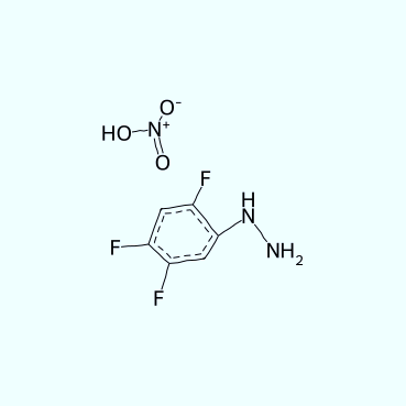 NNc1cc(F)c(F)cc1F.O=[N+]([O-])O